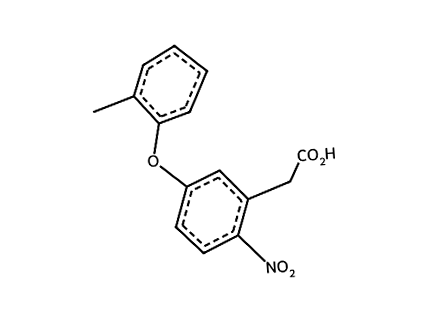 Cc1ccccc1Oc1ccc([N+](=O)[O-])c(CC(=O)O)c1